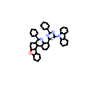 c1ccc(-c2nc(-c3cccc4c3nc(-c3ccccc3)c3ccc5oc6ccccc6c5c34)cc(-n3c4ccccc4c4ccccc43)n2)cc1